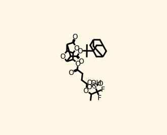 CC(OC(=O)CCC(=O)OC1C2OC(=O)C3C2OC1C3C(=O)OC(C)(C)C12CC3CC(CC(C3)C1)C2)C(F)(F)S(=O)(=O)O